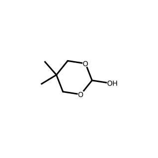 CC1(C)COC(O)OC1